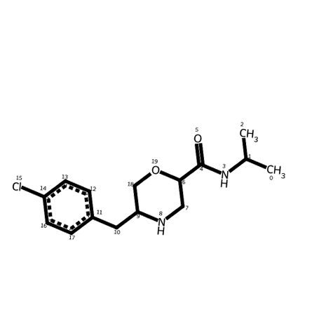 CC(C)NC(=O)C1CNC(Cc2ccc(Cl)cc2)CO1